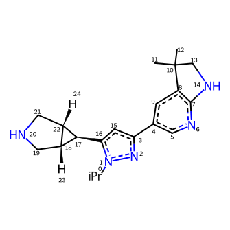 CC(C)n1nc(-c2cnc3c(c2)C(C)(C)CN3)cc1[C@H]1[C@@H]2CNC[C@@H]21